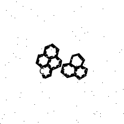 C1=Cc2cccc3cccc(c23)C1.c1cc2ccc3cccc4ccc(c1)c2c34